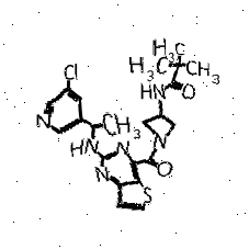 CC(Nc1nc(C(=O)N2CC(NC(=O)C(C)(C)C)C2)c2sccc2n1)c1cncc(Cl)c1